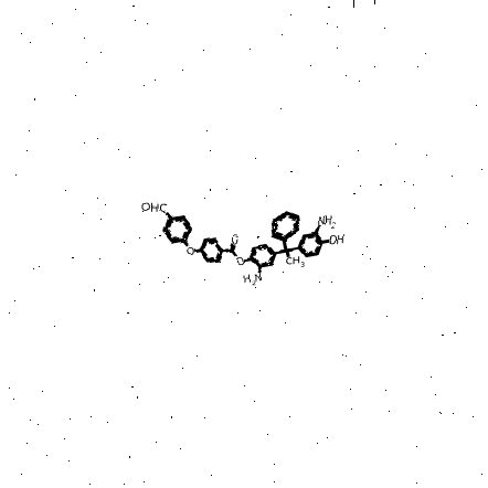 CC(c1ccccc1)(c1ccc(O)c(N)c1)c1ccc(OC(=O)c2ccc(Oc3ccc(C=O)cc3)cc2)c(N)c1